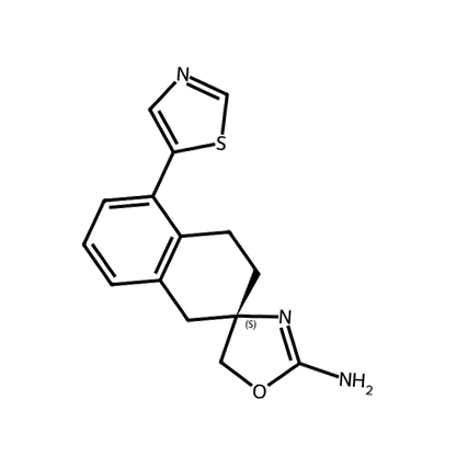 NC1=N[C@]2(CCc3c(cccc3-c3cncs3)C2)CO1